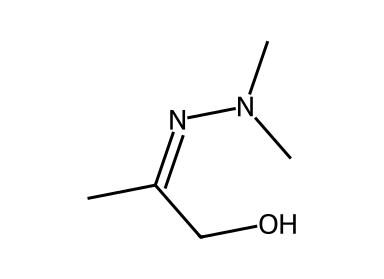 CC(CO)=NN(C)C